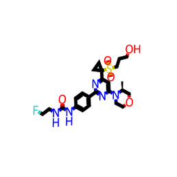 C[C@H]1COCCN1c1cc(C2(S(=O)(=O)CCCO)CC2)nc(-c2ccc(NC(=O)NCCF)cc2)n1